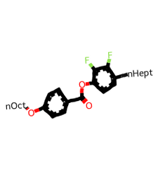 CCCCCCCCOc1ccc(C(=O)Oc2ccc(CCCCCCC)c(F)c2F)cc1